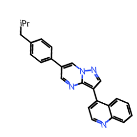 CC(C)Cc1ccc(-c2cnc3c(-c4ccnc5ccccc45)cnn3c2)cc1